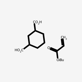 C=CC(=O)OCC(C)C.O=C(O)C1CCCC(C(=O)O)C1